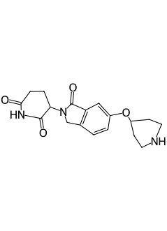 O=C1CCC(N2Cc3ccc(OC4CCNCC4)cc3C2=O)C(=O)N1